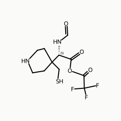 O=CN[C@H](C(=O)OC(=O)C(F)(F)F)C1(CS)CCNCC1